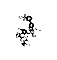 CC(C)(C)C[C@]1(c2ccc(-c3cccc(S(C)(=O)=O)c3)cc2)NC(=N)N([C@H](COC(=O)NC2(C(F)(F)F)CC2)c2ccc(Cl)c(-n3ncnc3C(F)F)c2)C1=O